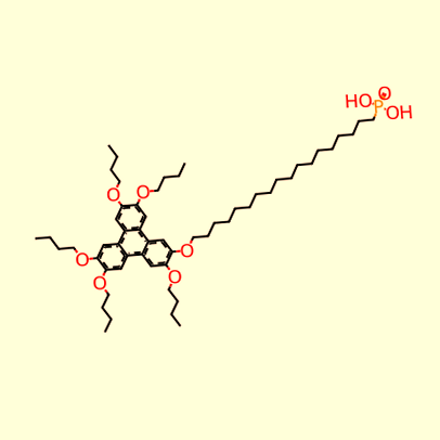 CCCCOc1cc2c3cc(OCCCC)c(OCCCC)cc3c3cc(OCCCCCCCCCCCCCCCCCCP(=O)(O)O)c(OCCCC)cc3c2cc1OCCCC